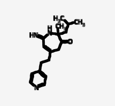 CC(C)CC1(C)NC(=N)C=C(CCc2ccncc2)CC1=O